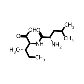 CC[C@H](C)[C@H](NC(=O)[C@@H](N)CC(C)C)C(=O)O